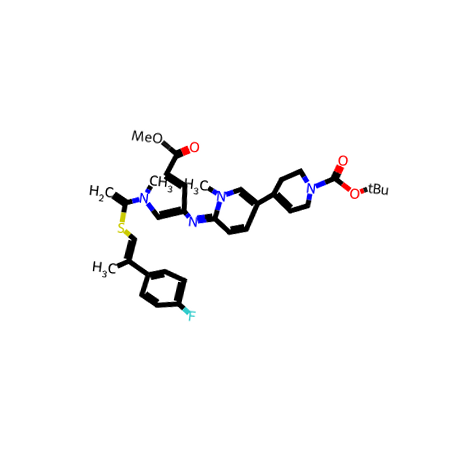 C=C(S/C=C(\C)c1ccc(F)cc1)N(C)/C=C(\C=C\C(=O)OC)/N=c1/ccc(C2=CCN(C(=O)OC(C)(C)C)CC2)cn1C